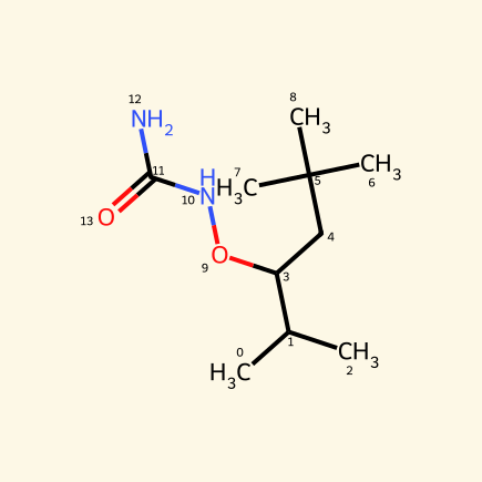 CC(C)C(CC(C)(C)C)ONC(N)=O